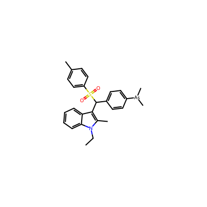 CCn1c(C)c(C(c2ccc([As](C)C)cc2)S(=O)(=O)c2ccc(C)cc2)c2ccccc21